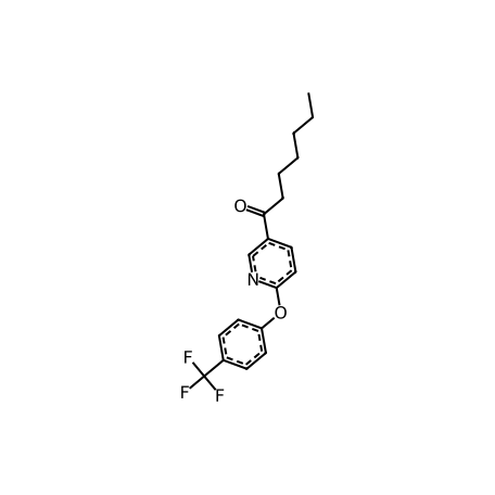 CCCCCCC(=O)c1ccc(Oc2ccc(C(F)(F)F)cc2)nc1